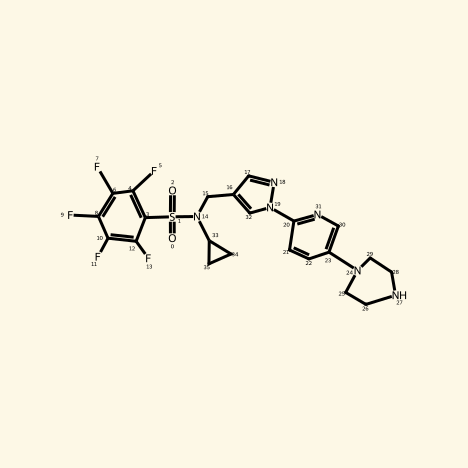 O=S(=O)(c1c(F)c(F)c(F)c(F)c1F)N(Cc1cnn(-c2ccc(N3CCNCC3)cn2)c1)C1CC1